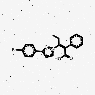 CC/C(=C(/C(=O)O)c1ccccc1)n1ccc(-c2ccc(Br)cc2)n1